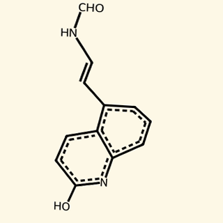 O=CNC=Cc1cccc2nc(O)ccc12